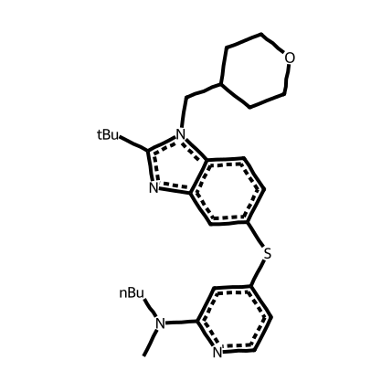 CCCCN(C)c1cc(Sc2ccc3c(c2)nc(C(C)(C)C)n3CC2CCOCC2)ccn1